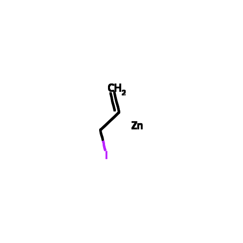 C=CCI.[Zn]